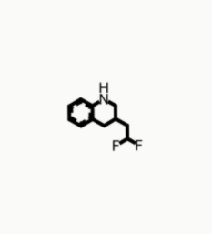 FC(F)CC1CNc2ccccc2C1